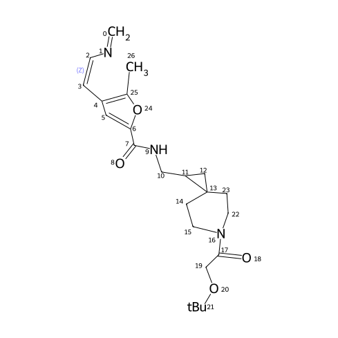 C=N/C=C\c1cc(C(=O)NCC2CC23CCN(C(=O)COC(C)(C)C)CC3)oc1C